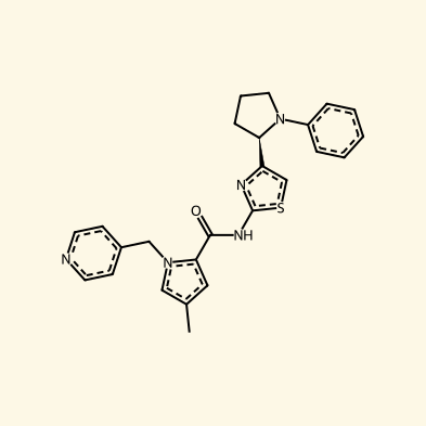 Cc1cc(C(=O)Nc2nc([C@H]3CCCN3c3ccccc3)cs2)n(Cc2ccncc2)c1